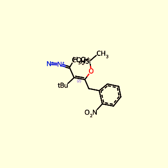 C[SiH](C)O/C(Cc1ccccc1[N+](=O)[O-])=C(\C(=[N+]=[N-])C(=O)O)C(C)(C)C